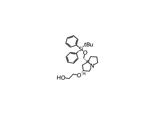 CC(C)(C)[Si](OC[C@]12CCCN1C[C@H](OCCO)C2)(c1ccccc1)c1ccccc1